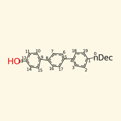 CCCCCCCCCCc1ccc(-c2ccc(-c3ccc(O)cc3)cc2)cc1